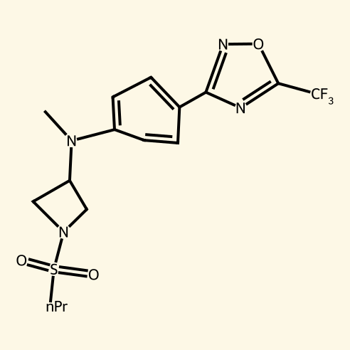 CCCS(=O)(=O)N1CC(N(C)c2ccc(-c3noc(C(F)(F)F)n3)cc2)C1